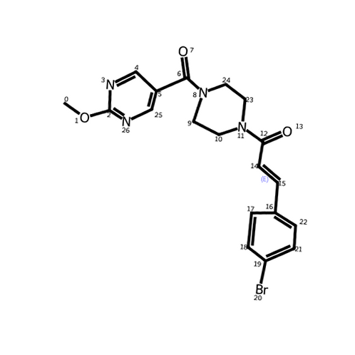 COc1ncc(C(=O)N2CCN(C(=O)/C=C/c3ccc(Br)cc3)CC2)cn1